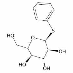 OCC1O[C@@H](Sc2ccccc2)[C@@H](O)C(O)[C@H]1O